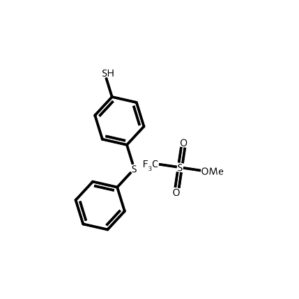 COS(=O)(=O)C(F)(F)F.Sc1ccc(Sc2ccccc2)cc1